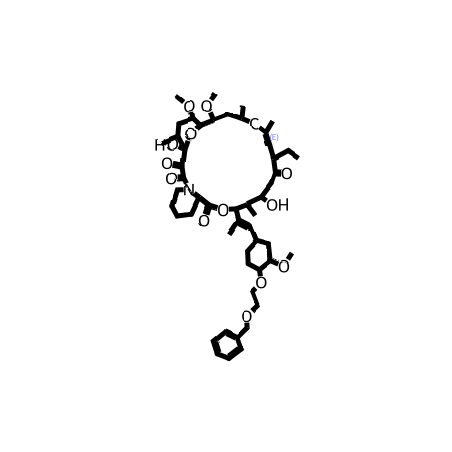 CCC1/C=C(\C)CC(C)CC(OC)C2OC(O)(C(=O)C(=O)N3CCCCC3C(=O)OC(C(C)=CC3CCC(OCCOCc4ccccc4)C(OC)C3)C(C)C(O)CC1=O)C(C)CC2OC